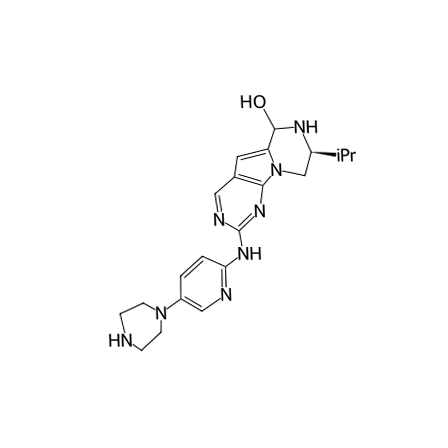 CC(C)[C@H]1Cn2c(cc3cnc(Nc4ccc(N5CCNCC5)cn4)nc32)C(O)N1